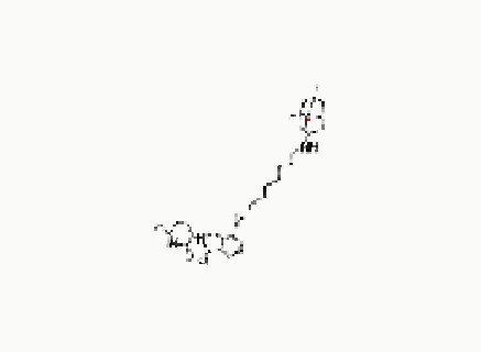 CC12CC3CC(C)(C1)CC(NCCCCCCCCSc1cccc4c1CN(C1CCC(=O)NC1=O)C4=O)(C3)C2